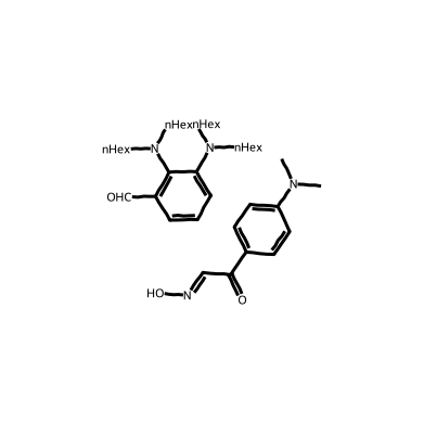 CCCCCCN(CCCCCC)c1cccc(C=O)c1N(CCCCCC)CCCCCC.CN(C)c1ccc(C(=O)C=NO)cc1